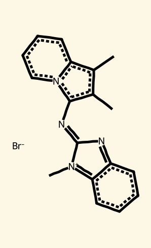 Cc1c(C)c2ccccn2c1/N=C1\N=c2ccccc2=[N+]1C.[Br-]